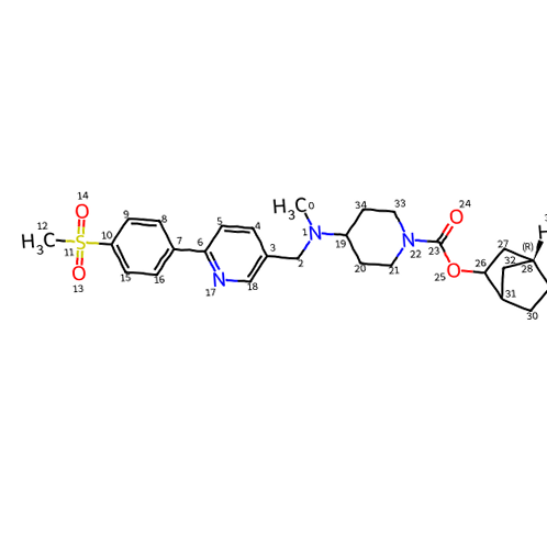 CN(Cc1ccc(-c2ccc(S(C)(=O)=O)cc2)nc1)C1CCN(C(=O)OC2C[C@@H]3CCC2C3)CC1